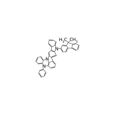 CC1(C)c2ccccc2-c2ccc(-n3c4ccccc4c4cc5c(cc43)c3cccc4c3n5-c3ccccc3N4c3ccccc3)cc21